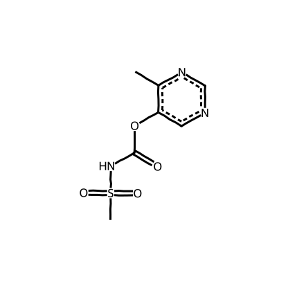 Cc1ncncc1OC(=O)NS(C)(=O)=O